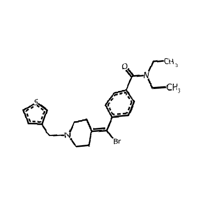 CCN(CC)C(=O)c1ccc(C(Br)=C2CCN(Cc3ccsc3)CC2)cc1